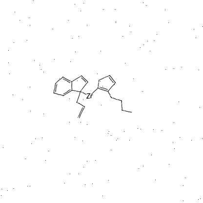 C=CC[C]1([Zr][C]2=C(CCCC)C=CC2)C=Cc2ccccc21